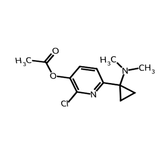 CC(=O)Oc1ccc(C2(N(C)C)CC2)nc1Cl